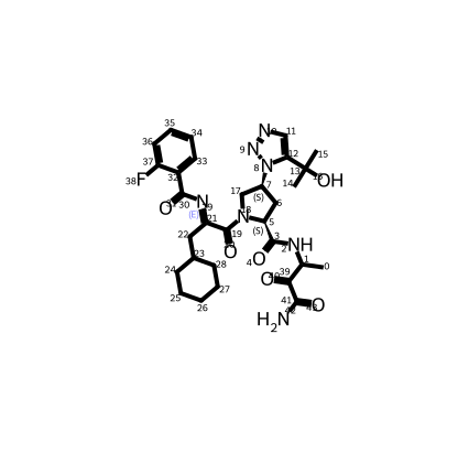 CC(NC(=O)[C@@H]1C[C@H](n2nncc2C(C)(C)O)CN1C(=O)/C(CC1CCCCC1)=N/C(=O)c1ccccc1F)C(=O)C(N)=O